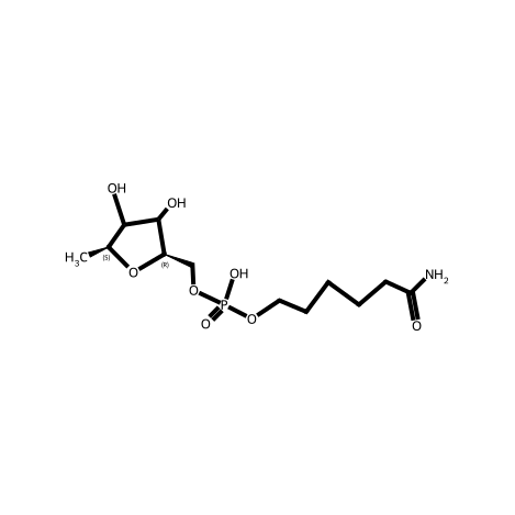 C[C@@H]1O[C@H](COP(=O)(O)OCCCCCC(N)=O)C(O)C1O